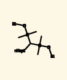 CCCCCCCC([Si](C)(C)OCC)[Si](C)(C)OCC